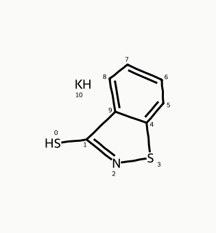 Sc1nsc2ccccc12.[KH]